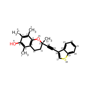 Cc1c(C)c2c(c(C)c1O)CC[C@@](C)(C#Cc1csc3ccccc13)O2